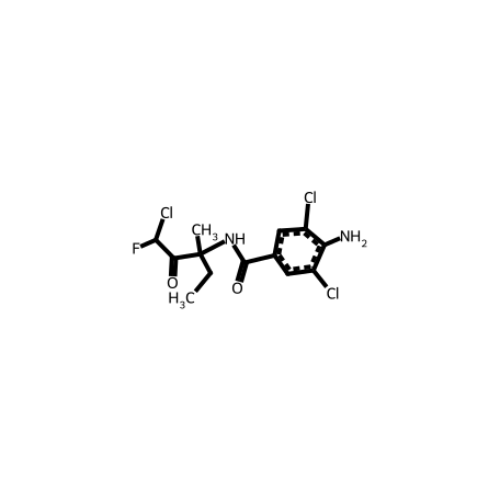 CCC(C)(NC(=O)c1cc(Cl)c(N)c(Cl)c1)C(=O)C(F)Cl